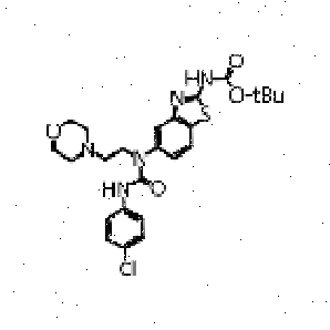 CC(C)(C)OC(=O)Nc1nc2cc(N(CCN3CCOCC3)C(=O)Nc3ccc(Cl)cc3)ccc2s1